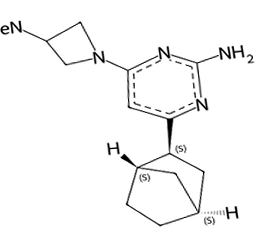 CNC1CN(c2cc([C@H]3C[C@H]4CC[C@H]3C4)nc(N)n2)C1